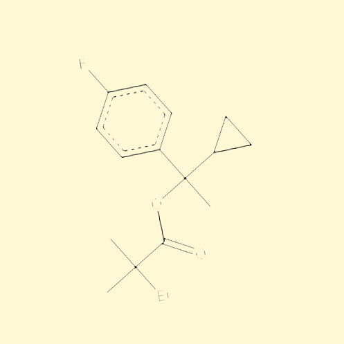 CCC(C)(C)C(=O)OC(C)(c1ccc(F)cc1)C1CC1